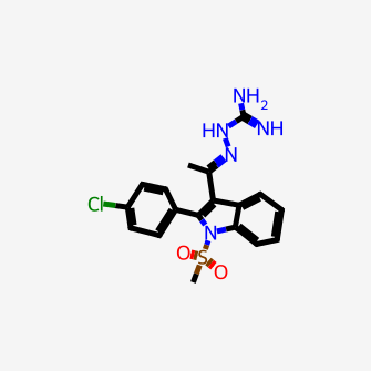 CC(=NNC(=N)N)c1c(-c2ccc(Cl)cc2)n(S(C)(=O)=O)c2ccccc12